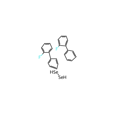 Fc1ccccc1-c1ccccc1.Fc1ccccc1-c1ccccc1.[SeH][SeH]